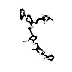 COc1cc(COc2nn(-c3ccccc3)cc2C=Cc2nnc(C)o2)ccc1OCc1nc(-c2ccco2)oc1C